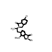 COc1c(CC(C)N2Cc3ccc(Cl)cc3C2=O)ccc2c1CN(C(C)C)C2=O